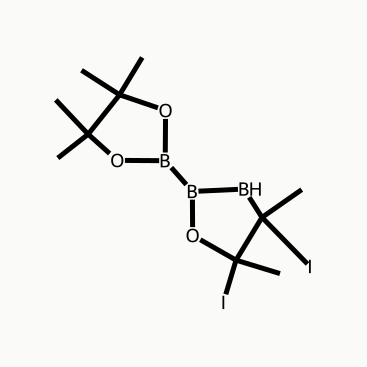 CC1(I)BB(B2OC(C)(C)C(C)(C)O2)OC1(C)I